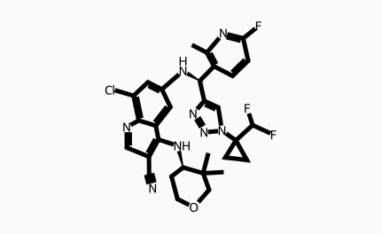 Cc1nc(F)ccc1[C@H](Nc1cc(Cl)c2ncc(C#N)c(N[C@@H]3CCOCC3(C)C)c2c1)c1cn(C2(C(F)F)CC2)nn1